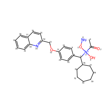 CC(=O)[N+](O)(O[NH])C(c1ccc(OCc2ccc3ccccc3n2)cc1)C1CCCCCC1